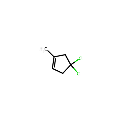 CC1=CCC(Cl)(Cl)C1